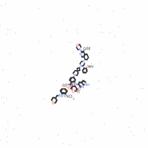 COc1c(N2CCOCC2)ncc2c1CCC[C@@H]2N1CCN(C2CC3(CCN(c4ccc(C(=O)NS(=O)(=O)c5ccc(NCC6CCOCC6)c([N+](=O)[O-])c5)c(N5c6cc7cc[nH]c7nc6O[C@H]6COCC[C@@H]65)c4)CC3)C2)[C@@H](c2ccccc2OC(C)C)C1